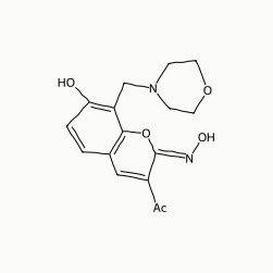 CC(=O)c1cc2ccc(O)c(CN3CCOCC3)c2oc1=NO